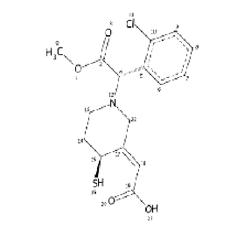 COC(=O)[C@H](c1ccccc1Cl)N1CC[C@H](S)/C(=C\C(=O)O)C1